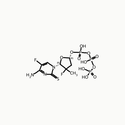 CC1(F)C[C@@H](OP(=O)(O)OP(=O)(O)OP(=O)(O)O)O[C@H]1n1cc(F)c(N)nc1=S